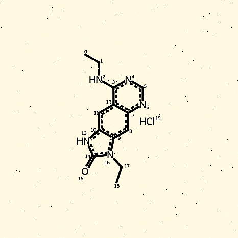 CCNc1ncnc2cc3c(cc12)[nH]c(=O)n3CC.Cl